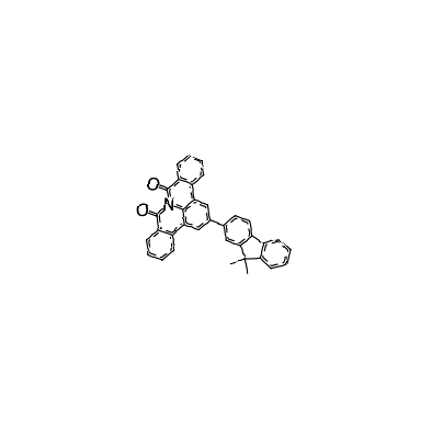 CC1(C)c2ccccc2-c2ccc(-c3cc4c5ccccc5c(=O)n5c(=O)c6ccccc6c(c3)c45)cc21